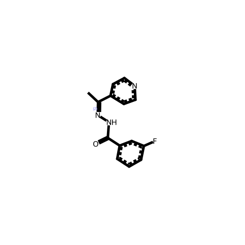 C/C(=N/NC(=O)c1cccc(F)c1)c1ccncc1